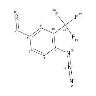 [N-]=[N+]=Nc1ccc(C=O)cc1C(F)(F)F